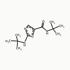 CC(C)(C)NC(=O)c1cnc(NC(C)(C)C)o1